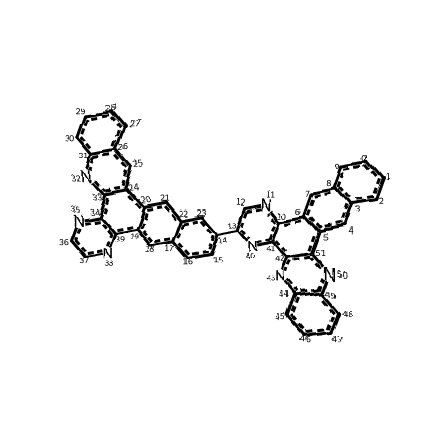 c1ccc2cc3c(cc2c1)c1ncc(-c2ccc4cc5c(cc4c2)c2cc4ccccc4nc2c2nccnc52)nc1c1nc2ccccc2nc31